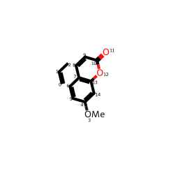 C=CC.COc1ccc2ccc(=O)oc2c1